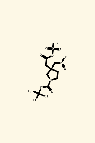 CC(C)(C)OC(=O)N1CCC(CC(=O)OS(C)(=O)=O)(C[N+](=O)[O-])C1